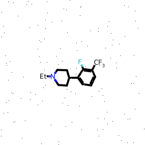 CCN1CCC(c2cccc(C(F)(F)F)c2F)CC1